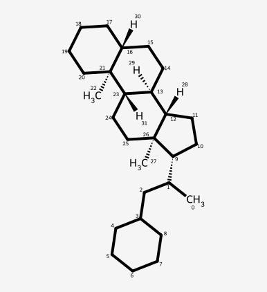 CC(CC1CCCCC1)[C@H]1CC[C@H]2[C@@H]3CC[C@H]4CCCC[C@]4(C)[C@H]3CC[C@]12C